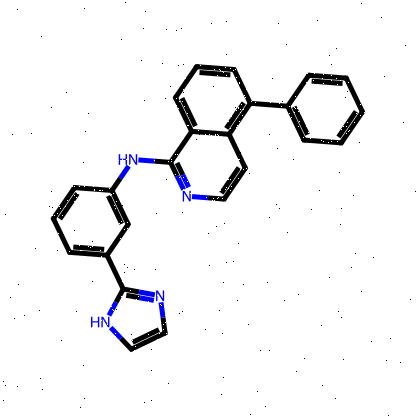 c1ccc(-c2cccc3c(Nc4cccc(-c5ncc[nH]5)c4)nccc23)cc1